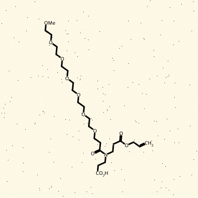 C=CCOC(=O)CCN(CCC(=O)O)C(=O)CCOCCOCCOCCOCCOCCOCCOC